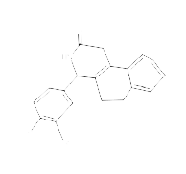 O=C1CC2=C(CCc3ccccc32)C(c2ccc(O)c(Br)c2)N1